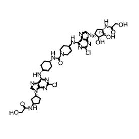 O=C(CO)N[C@@H]1CC[C@H](n2cnc3c(N[C@H]4CC[C@H](NC(=O)N5CCC(Nc6nc(Cl)nc7c6ncn7[C@@H]6C[C@H](NC(=O)CO)[C@@H](O)[C@H]6O)CC5)CC4)nc(Cl)nc32)C1